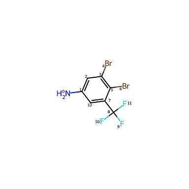 Nc1cc(Br)c(Br)c(C(F)(F)F)c1